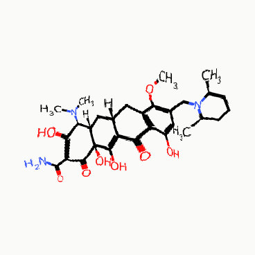 COc1c(CN2[C@H](C)CCC[C@@H]2C)cc(O)c2c1C[C@H]1C[C@H]3[C@H](N(C)C)C(O)=C(C(N)=O)C(=O)[C@@]3(O)C(O)=C1C2=O